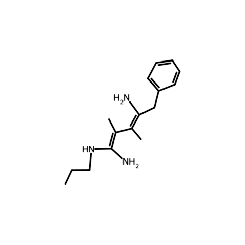 CCCN/C(N)=C(C)/C(C)=C(\N)Cc1ccccc1